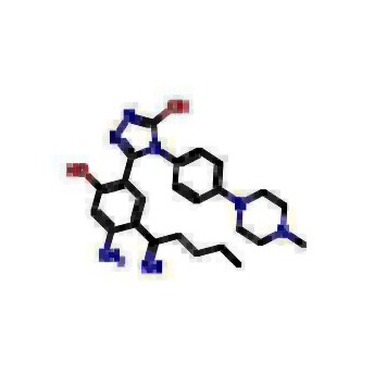 CCCCC(=N)c1cc(-c2nnc(O)n2-c2ccc(N3CCN(C)CC3)cc2)c(O)cc1N